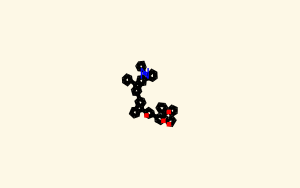 c1ccc(C2c3ccc(-c4ccc5c(c4)-c4ccccc4C5c4ccc(-c5cccc([Si](c6ccccc6)(c6ccccc6)c6ccccc6)c5)cc4)cc3-c3cc4c5ccccc5n(-c5ccccc5)c4cc32)cc1